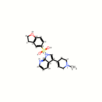 CN1CC=C(c2cn(S(=O)(=O)c3ccc4c(c3)CCO4)c3ncccc23)CC1